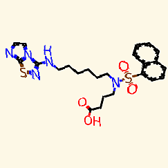 O=C(O)CCCN(CCCCCCNc1nsc2nccn12)S(=O)(=O)c1cccc2ccccc12